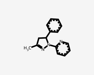 CC1=NN(c2ccccn2)C(c2ccccc2)C1